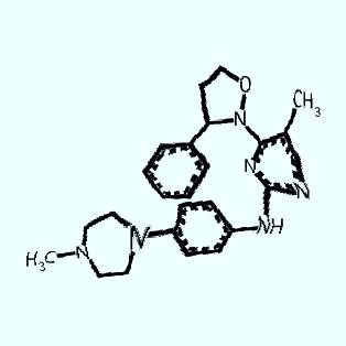 Cc1cnc(Nc2ccc(N3CCN(C)CC3)cc2)nc1N1OCCC1c1ccccc1